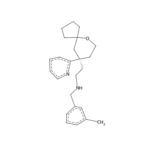 Cc1cccc(CNCC[C@@]2(c3ccccn3)CCOC3(CCCC3)C2)c1